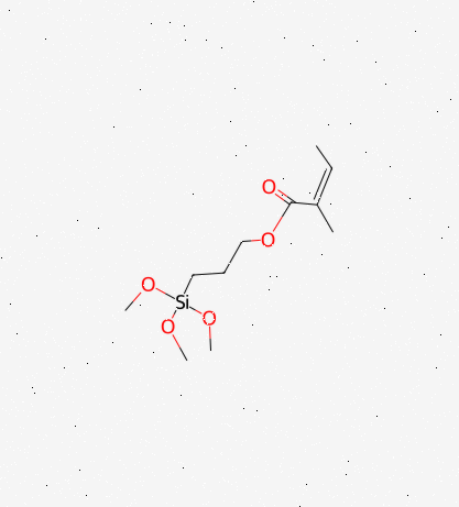 CC=C(C)C(=O)OCCC[Si](OC)(OC)OC